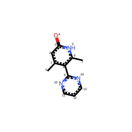 Cc1cc(=O)[nH]c(C)c1-c1ncccn1